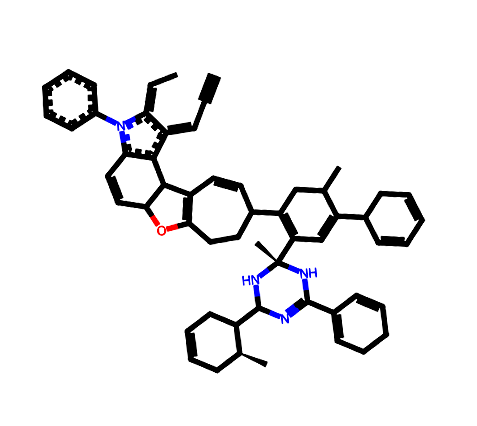 C#C/C=c1/c2c(n(-c3ccccc3)/c1=C/C)C=CC1OC3=C(C=CC(C4=C([C@]5(C)NC(C6=CCCC=C6)=NC(C6CC=CC[C@@H]6C)N5)C=C(C5C=CC=CC5)C(C)C4)CC3)C21